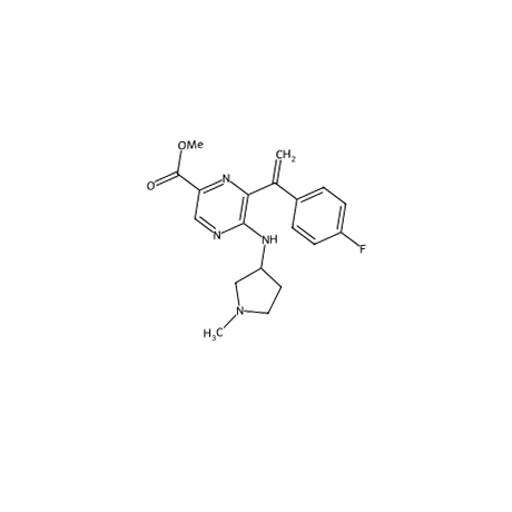 C=C(c1ccc(F)cc1)c1nc(C(=O)OC)cnc1NC1CCN(C)C1